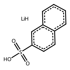 O=S(=O)(O)c1ccc2ccccc2c1.[LiH]